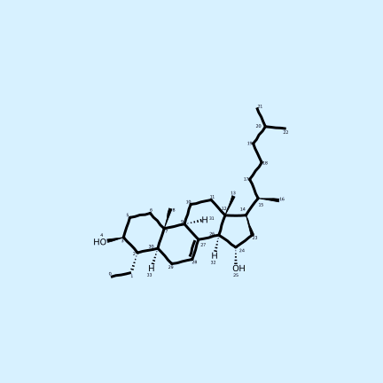 CC[C@@H]1[C@@H](O)CC[C@]2(C)[C@H]3CC[C@]4(C)[C@@H]([C@H](C)CCCC(C)C)C[C@H](O)[C@H]4C3=CC[C@@H]12